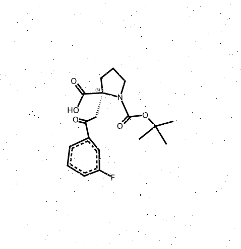 CC(C)(C)OC(=O)N1CCC[C@]1(CC(=O)c1cccc(F)c1)C(=O)O